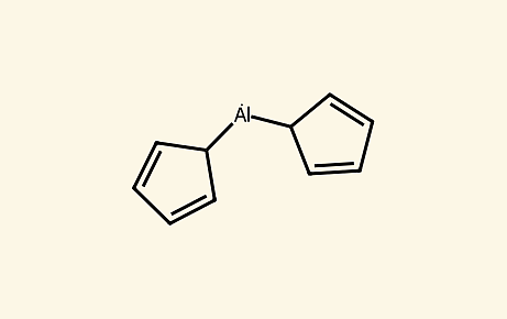 C1=C[CH]([Al][CH]2C=CC=C2)C=C1